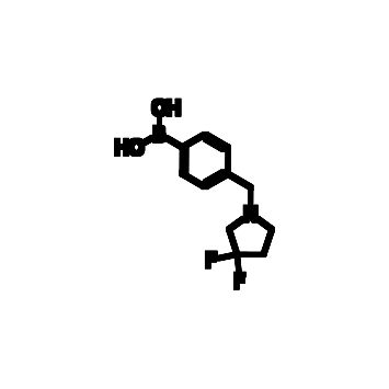 OB(O)c1ccc(CN2CCC(F)(F)C2)cc1